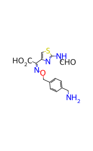 NCc1ccc(CON=C(C(=O)O)c2csc(NC=O)n2)cc1